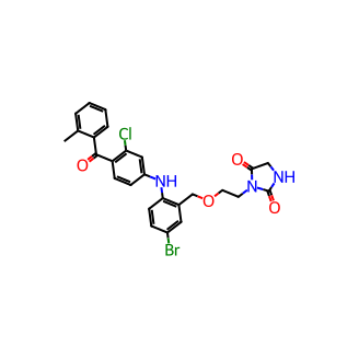 Cc1ccccc1C(=O)c1ccc(Nc2ccc(Br)cc2COCCN2C(=O)CNC2=O)cc1Cl